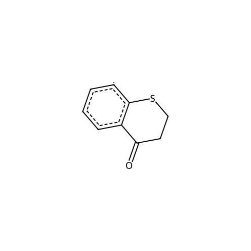 O=C1CCSc2[c]cccc21